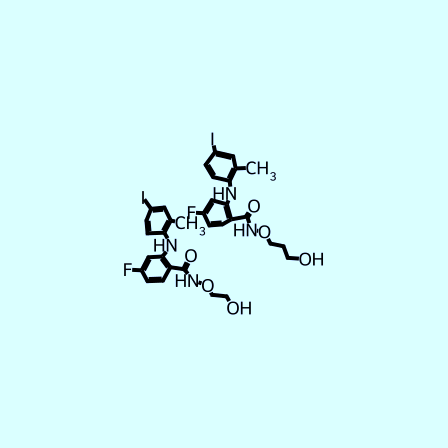 Cc1cc(I)ccc1Nc1cc(F)ccc1C(=O)NOCCCO.Cc1cc(I)ccc1Nc1cc(F)ccc1C(=O)NOCCO